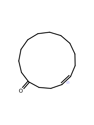 O=C1CC/C=C\CCCCCCCCCC1